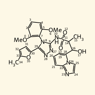 COc1cccc(OC)c1-n1c(NS(=O)(=O)C(C)C(O)c2cccc3nccn23)nnc1-c1ccc(C)o1